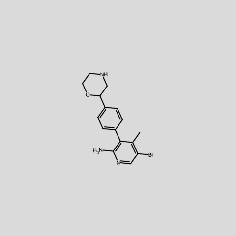 Cc1c(Br)cnc(N)c1-c1ccc(C2CNCCO2)cc1